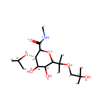 CNC(=O)C1OC(C(C)(C)OCC(C)(C)O)C(O)C(O)[C@@H]1OC(C)C